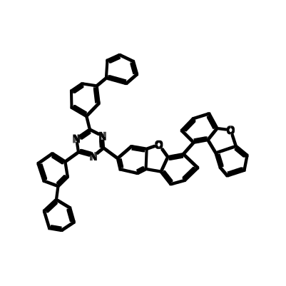 c1ccc(-c2cccc(-c3nc(-c4cccc(-c5ccccc5)c4)nc(-c4ccc5c(c4)oc4c(-c6cccc7oc8ccccc8c67)cccc45)n3)c2)cc1